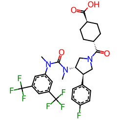 CN(C(=O)N(C)[C@@H]1CN(C(=O)[C@H]2CC[C@H](C(=O)O)CC2)C[C@H]1c1ccc(F)cc1)c1cc(C(F)(F)F)cc(C(F)(F)F)c1